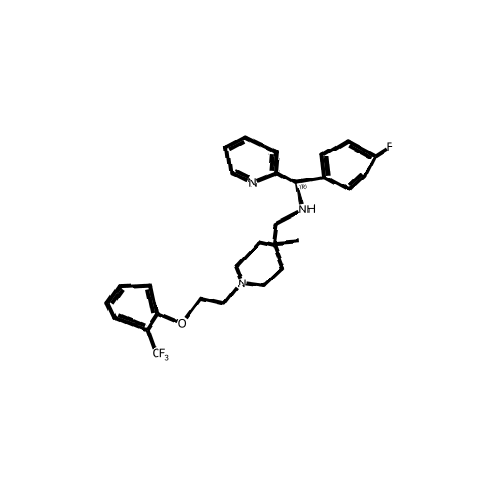 CC1(CN[C@H](c2ccc(F)cc2)c2ccccn2)CCN(CCOc2ccccc2C(F)(F)F)CC1